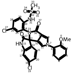 COc1ccccc1-n1cc2c(c1)C1(C(=O)Nc3cc(Cl)ccc31)N(c1cc(Cl)ccc1NS(C)(=O)=O)C2=O